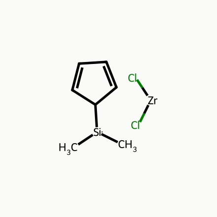 C[Si](C)C1C=CC=C1.[Cl][Zr][Cl]